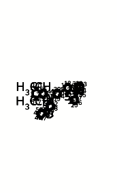 CC1(C)CCC(C)(C)c2cc(N(c3ccc(-c4cccc5c4Sc4ccccc4C54C5CC6CC7CC4C75C6)cc3)c3ccc4oc5ccccc5c4c3)ccc21